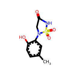 Cc1ccc(O)c(N2CC(=O)NS2(=O)=O)c1